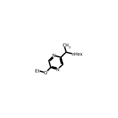 CCCCCCC(C)c1cnc(OCC)cn1